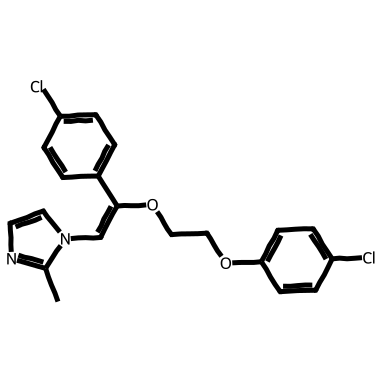 Cc1nccn1C=C(OCCOc1ccc(Cl)cc1)c1ccc(Cl)cc1